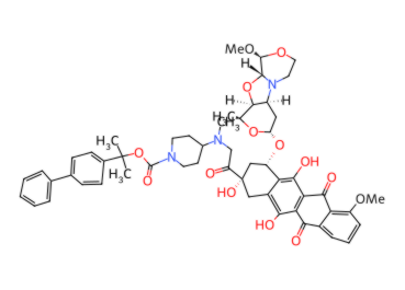 COc1cccc2c1C(=O)c1c(O)c3c(c(O)c1C2=O)C[C@@](O)(C(=O)CN(C)C1CCN(C(=O)OC(C)(C)c2ccc(-c4ccccc4)cc2)CC1)C[C@@H]3O[C@H]1C[C@H]2[C@H](O[C@@H]3[C@@H](OC)OCCN32)[C@H](C)O1